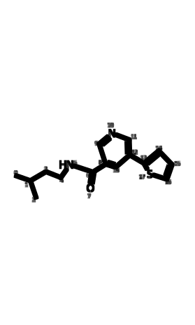 CC(C)CCNC(=O)c1cncc(-c2cccs2)c1